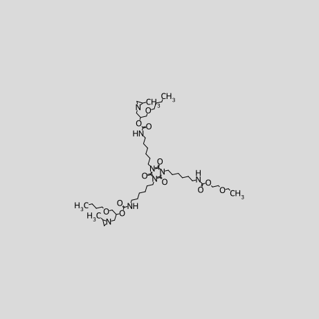 CCCCOCC(CN1CC1C)OC(=O)NCCCCCCn1c(=O)n(CCCCCCNC(=O)OCCOCC)c(=O)n(CCCCCCNC(=O)OC(COCCCC)CN2CC2C)c1=O